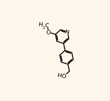 COc1cncc(-c2ccc(CO)cc2)c1